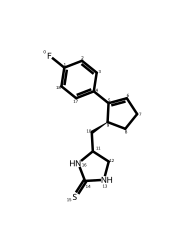 Fc1ccc(C2=CCC[C@H]2CC2CNC(=S)N2)cc1